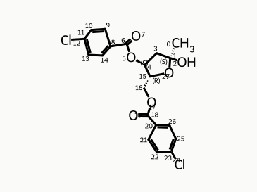 C[C@@]1(O)C[C@H](OC(=O)c2ccc(Cl)cc2)[C@@H](COC(=O)c2ccc(Cl)cc2)O1